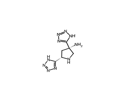 N[C@]1(c2nnn[nH]2)CN[C@H](c2nnn[nH]2)C1